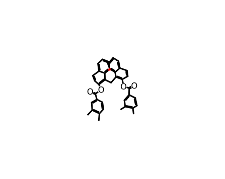 Cc1ccc(C(=O)Oc2ccc3ccccc3c2Cc2c(OC(=O)c3ccc(C)c(C)c3)ccc3ccccc23)cc1C